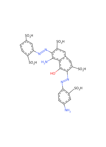 Nc1ccc(N=Nc2c(S(=O)(=O)O)cc3cc(S(=O)(=O)O)c(N=Nc4cc(S(=O)(=O)O)ccc4S(=O)(=O)O)c(N)c3c2O)c(S(=O)(=O)O)c1